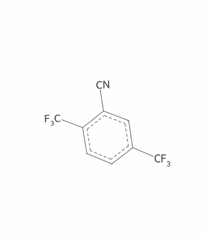 N#Cc1cc(C(F)(F)F)ccc1C(F)(F)F